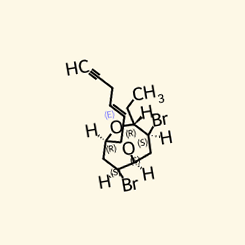 C#CC/C=C/C1O[C@H]2C[C@H](Br)[C@@H](CC)O[C@@H]1C[C@@H]2Br